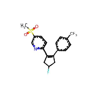 CS(=O)(=O)c1ccc(C2=C(c3ccc(C(F)(F)F)cc3)CC(F)C2)nc1